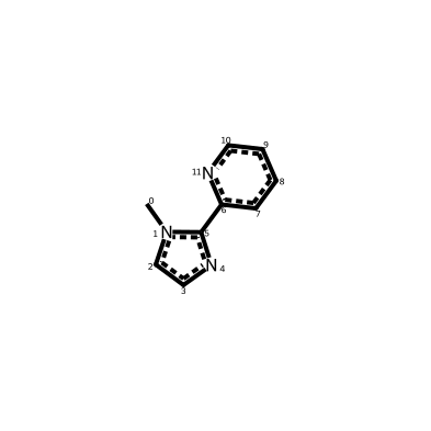 Cn1ccnc1-c1ccccn1